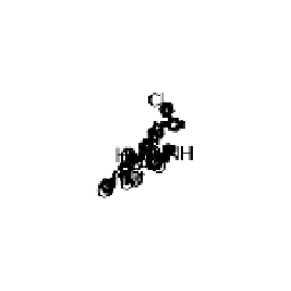 CC1(C)CCC(CN2CCN(c3ccc(C(=O)NS(=O)(=O)c4ccc(NCC5CCOCC5)c([N+](=O)[O-])c4)c(N4CCCOc5cc6[nH]ccc6nc54)c3)CC2)=C(c2ccc(Cl)cc2)C1